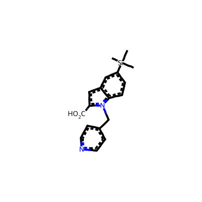 C[Si](C)(C)c1ccc2c(c1)cc(C(=O)O)n2Cc1ccncc1